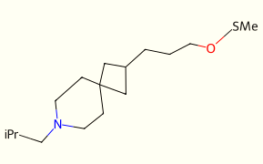 CSOCCCC1CC2(CCN(CC(C)C)CC2)C1